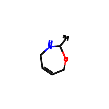 [2H]C1NCC=CCO1